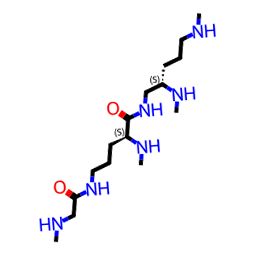 CNCCC[C@@H](CNC(=O)[C@H](CCCNC(=O)CNC)NC)NC